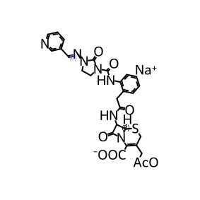 CC(=O)OCC1=C(C(=O)[O-])N2C(=O)C(NC(=O)Cc3ccccc3NC(=O)N3CCN(/N=C/c4cccnc4)C3=O)[C@H]2SC1.[Na+]